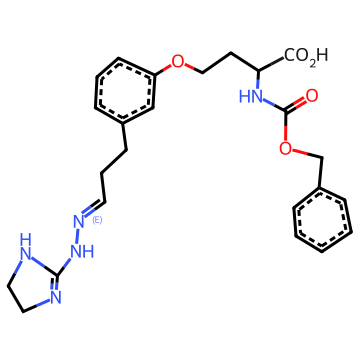 O=C(NC(CCOc1cccc(CC/C=N/NC2=NCCN2)c1)C(=O)O)OCc1ccccc1